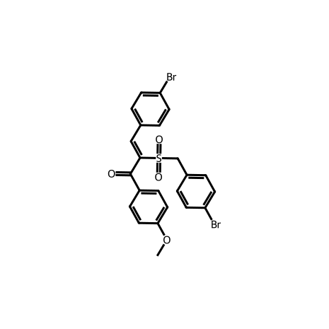 COc1ccc(C(=O)/C(=C/c2ccc(Br)cc2)S(=O)(=O)Cc2ccc(Br)cc2)cc1